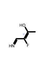 C/C(O)=C(\F)C=N